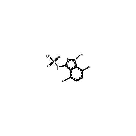 CC(C)n1nc(NS(C)(=O)=O)c2c(Cl)ccc(Br)c21